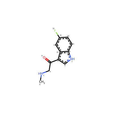 CNCC(=O)c1c[nH]c2ccc(F)cc12